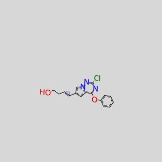 OCC/C=C/c1cc2c(Oc3ccccc3)nc(Cl)nn2c1